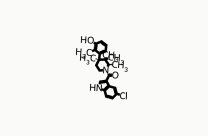 Cc1c(O)cccc1[C@]1(C)CCN(C(=O)c2c[nH]c3ccc(Cl)cc23)[C@H](C)C1(C)C